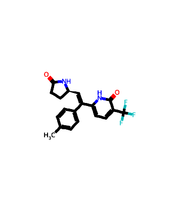 Cc1ccc(/C(=C\[C@H]2CCC(=O)N2)c2ccc(C(F)(F)F)c(=O)[nH]2)cc1